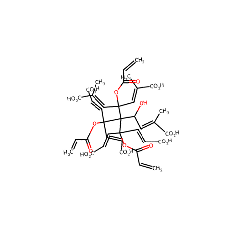 C=CC(=O)OC(C=CC(=O)O)(C=CC(=O)O)C(C(O)C=C(C)C(=O)O)(C(C=CC(=O)O)(C=CC(=O)O)OC(=O)C=C)C(C=C(C)C(=O)O)(C=C(C)C(=O)O)OC(=O)C=C